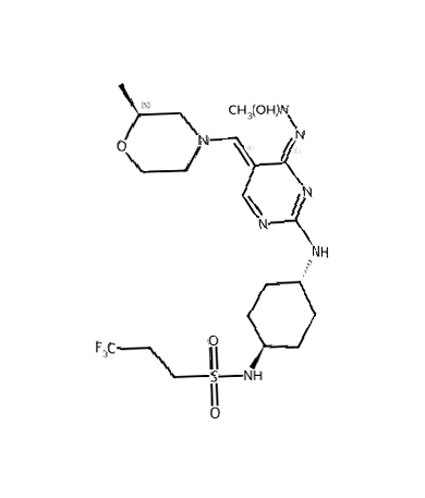 C[C@H]1CN(/C=C2\C=NC(N[C@H]3CC[C@H](NS(=O)(=O)CCC(F)(F)F)CC3)=N\C2=N\N(C)O)CCO1